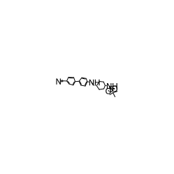 CC(C)(C)S(=O)(=O)N[C@H]1CC[C@H](CNc2ccc(-c3ccc(C#N)cc3)cc2)CC1